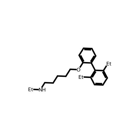 CCNCCCCCOc1ccccc1-c1c(CC)cccc1CC